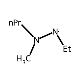 CCCN(C)[N]CC